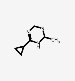 CC1NC(C2CC2)=NCS1